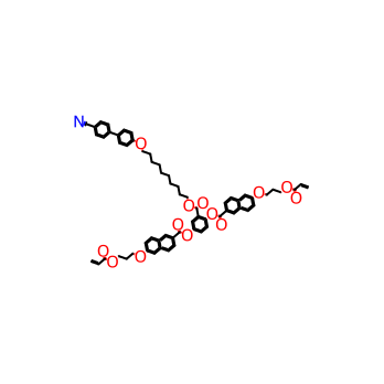 C=CC(=O)OCCCOc1ccc2cc(C(=O)Oc3ccc(OC(=O)c4ccc5cc(OCCCOC(=O)C=C)ccc5c4)c(C(=O)OCCCCCCCCCCOc4ccc(-c5ccc(C#N)cc5)cc4)c3)ccc2c1